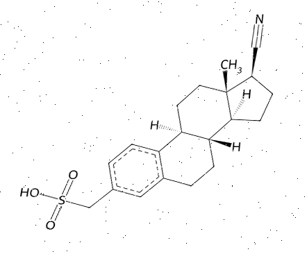 C[C@]12CC[C@@H]3c4ccc(CS(=O)(=O)O)cc4CC[C@H]3[C@@H]1CC[C@@H]2C#N